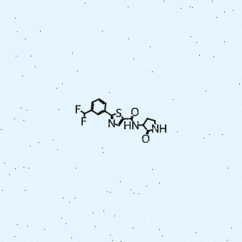 O=C(NC1CCNC1=O)c1cnc(-c2cccc(C(F)F)c2)s1